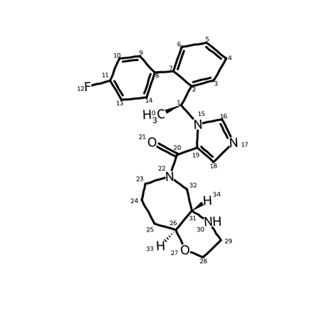 C[C@@H](c1ccccc1-c1ccc(F)cc1)n1cncc1C(=O)N1CCC[C@@H]2OCCN[C@H]2C1